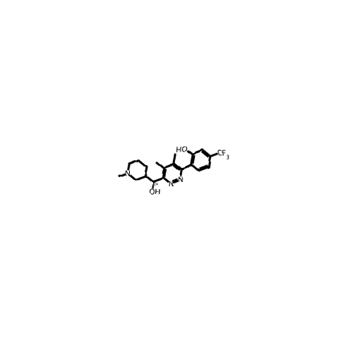 Cc1c(-c2ccc(C(F)(F)F)cc2O)nnc([C@@H](O)C2CCCN(C)C2)c1C